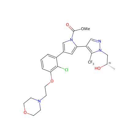 COC(=O)n1cc(-c2cccc(OCCN3CCOCC3)c2Cl)cc1-c1cnn(C[C@H](C)O)c1C(F)(F)F